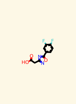 O=C(O)Cc1noc(-c2ccc(F)c(F)c2)n1